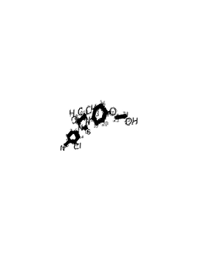 CC1(C)C(=O)N(c2ccc(C#N)c(Cl)c2)C(=S)N1[C@H]1CC[C@H](OCCO)CC1